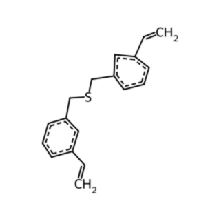 C=Cc1cccc(CSCc2cccc(C=C)c2)c1